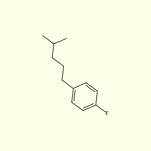 C[C](C)CCCc1ccc(F)cc1